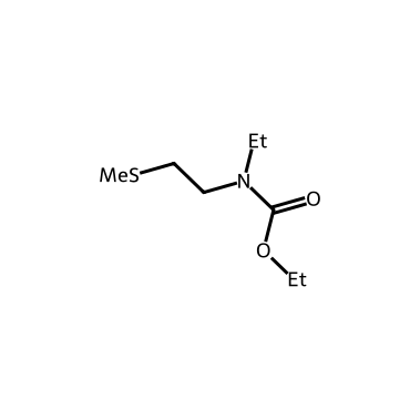 CCOC(=O)N(CC)CCSC